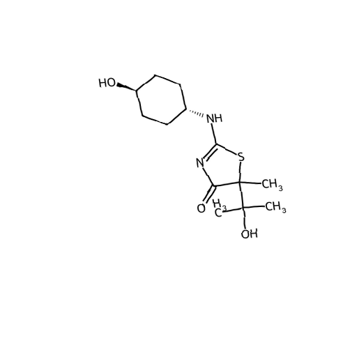 CC(C)(O)C1(C)SC(N[C@H]2CC[C@H](O)CC2)=NC1=O